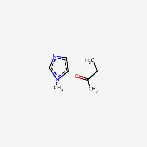 CCC(C)=O.Cn1ccnc1